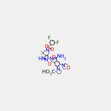 CC1(C)CN(S(=O)(=O)c2cc(F)cc(F)c2)Cc2c(NC(=O)c3cc(N4CCC[C@H]4C(=O)O)c(N4CCOCC4)cc3C(N)=O)n[nH]c21